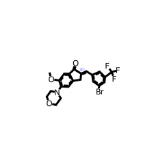 COc1cc2c(cc1N1CCOCC1)C/C(=C\c1cc(Br)cc(C(F)(F)F)c1)C2=O